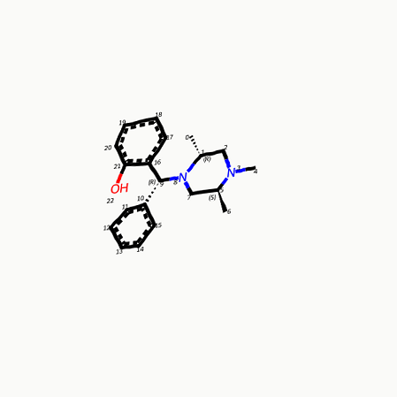 C[C@@H]1CN(C)[C@@H](C)CN1[C@H](c1ccccc1)c1ccccc1O